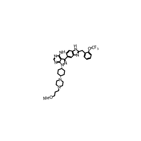 COCCCN1CCN([C@H]2CC[C@@H](n3nc(-c4ccc5[nH]c(Cc6ccccc6OC(F)(F)F)nc5c4)c4c(N)ncnc43)CC2)CC1